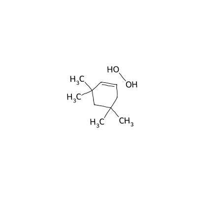 CC1(C)C=CCC(C)(C)C1.OO